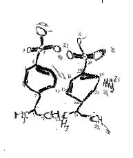 CC(C)c1ccc(S(=O)(=O)[O-])cc1.CC(C)c1ccc(S(=O)(=O)[O-])cc1.[Mg+2]